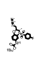 C[C@H]1C(CN=[N+]=[N-])Oc2ccc(NC(=O)OC(C)(C)C)cc2N1S(=O)(=O)c1ccc(F)cc1